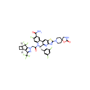 NC(=O)c1cc(-c2cc3sc(N4CCC5(CC4)CNC(=O)O5)nc3nc2[C@H](Cc2cc(F)cc(F)c2)NC(=O)Cn2nc(C(F)(F)F)c3c2C(F)(F)[C@@H]2CC[C@H]32)ccc1F